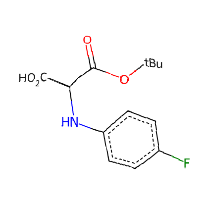 CC(C)(C)OC(=O)C(Nc1ccc(F)cc1)C(=O)O